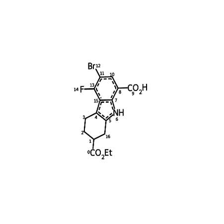 CCOC(=O)C1CCc2c([nH]c3c(C(=O)O)cc(Br)c(F)c23)C1